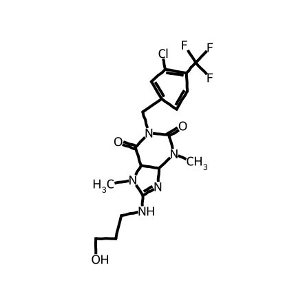 CN1C(=O)N(Cc2ccc(C(F)(F)F)c(Cl)c2)C(=O)C2C1N=C(NCCCO)N2C